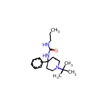 CCCNC(=O)NC1(c2ccccc2)CCN(C(C)(C)C)CC1